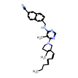 CCC/C=C/C=C\C1=C(C)CCN(c2ncnc(NCc3ccc4cc(C#N)ccc4c3)c2C)C1